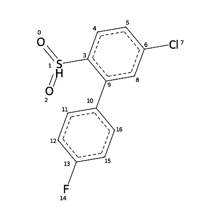 O=[SH](=O)c1ccc(Cl)cc1-c1ccc(F)cc1